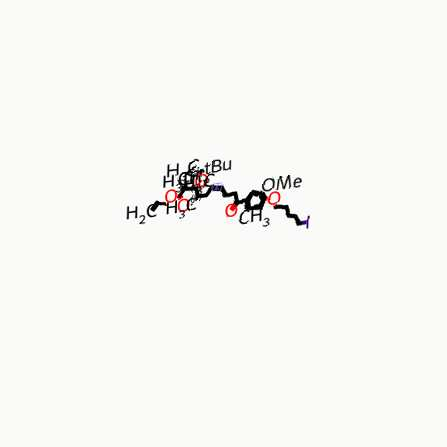 C=CCOC(=O)C(=C)[C@@H](O[Si](C)(C)C(C)(C)C)[C@@H](C)C/C(C)=C\CCC(=O)c1cc(OC)c(OCCCCCI)cc1C